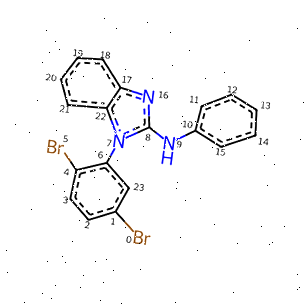 Brc1ccc(Br)c(-n2c(Nc3ccccc3)nc3ccccc32)c1